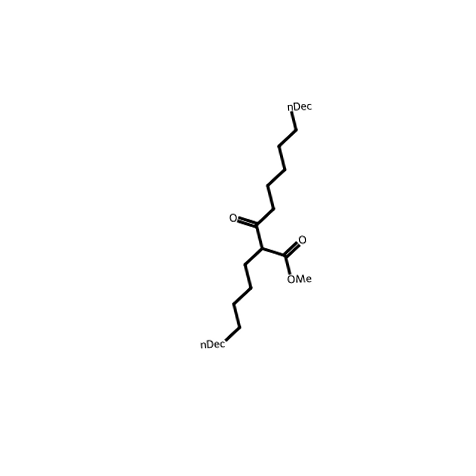 CCCCCCCCCCCCCCCC(=O)C(CCCCCCCCCCCCCC)C(=O)OC